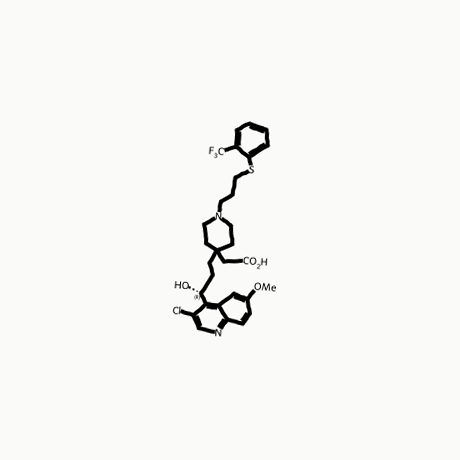 COc1ccc2ncc(Cl)c([C@H](O)CCC3(CC(=O)O)CCN(CCCSc4ccccc4C(F)(F)F)CC3)c2c1